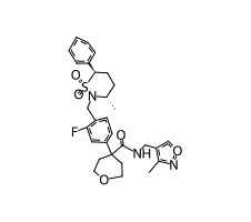 Cc1nocc1CNC(=O)C1(c2ccc(CN3[C@@H](C)CC[C@H](c4ccccc4)S3(=O)=O)c(F)c2)CCOCC1